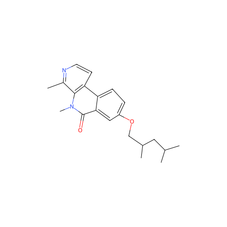 Cc1nccc2c3ccc(OCC(C)CC(C)C)cc3c(=O)n(C)c12